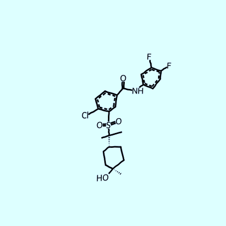 CC(C)([C@H]1CC[C@](C)(O)CC1)S(=O)(=O)c1cc(C(=O)Nc2ccc(F)c(F)c2)ccc1Cl